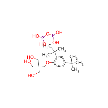 CC(C)(C)c1ccc(OCC(CO)(CO)CO)c(C(C)(C)C)c1.OP(O)OP(O)O